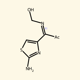 CC(=O)/C(=N/CO)c1csc(N)n1